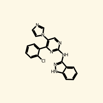 Clc1ccccc1-c1nc(Nc2n[nH]c3ccccc23)ncc1-n1ccnc1